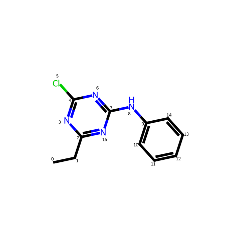 CCc1nc(Cl)nc(Nc2ccccc2)n1